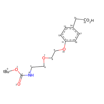 CC(C)(C)OC(=O)NCCOCCOc1ccc(CC(=O)O)cc1